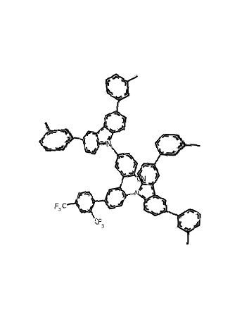 Cc1cccc(-c2ccc3c(c2)c2cc(-c4cccc(C)c4)ccc2n3-c2ccc(C#N)c(-c3cc(-c4ccc(C(F)(F)F)cc4C(F)(F)F)ccc3-n3c4ccc(-c5cccc(C)c5)cc4c4cc(-c5cccc(C)c5)ccc43)c2)c1